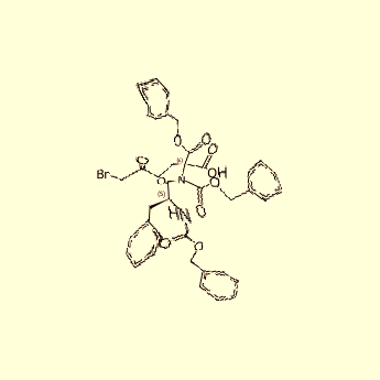 O=C(CBr)CC[C@](C(=O)O)(C(=O)OCc1ccccc1)N(C(=O)OCc1ccccc1)C(=O)[C@H](Cc1ccccc1)NC(=O)OCc1ccccc1